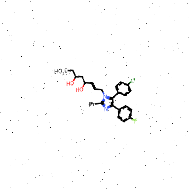 CC(C)c1nc(-c2ccc(F)cc2)c(-c2ccc(Cl)cc2)n1CC=CC(O)CC(O)CC(=O)O